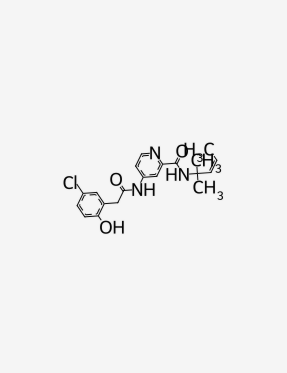 C/C=C\C(C)(C)NC(=O)c1cc(NC(=O)Cc2cc(Cl)ccc2O)ccn1